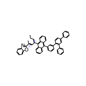 CC/C=C(\C=C(/C)c1nc2ccccc2o1)c1c2ccccc2c(-c2cccc(-c3ccc(-c4ccccc4)cc3-c3ccccc3)c2)c2ccccc12